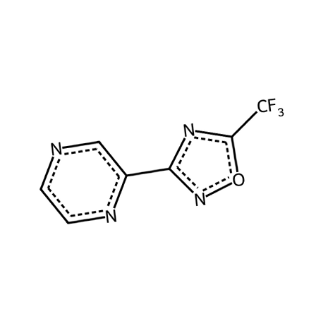 FC(F)(F)c1nc(-c2cnccn2)no1